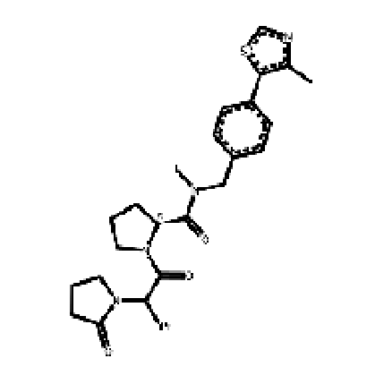 Cc1ncsc1-c1ccc(CN(I)C(=O)[C@@H]2CCCN2C(=O)C(C(C)C)N2CCCC2=O)cc1